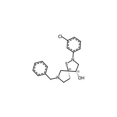 O[C@H]1CN(c2cccc(Cl)c2)S[C@@]12CCN(Cc1ccccc1)C2